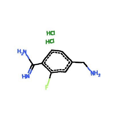 Cl.Cl.N=C(N)c1ccc(CN)cc1F